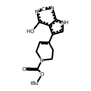 CC(C)(C)OC(=O)N1CC=C(c2c[nH]c3ncnc(O)c23)CC1